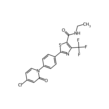 CCNC(=O)c1sc(-c2ccc(-n3ccc(Cl)cc3=O)cc2)nc1C(F)(F)F